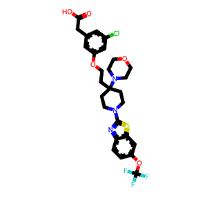 O=C(O)Cc1cc(Cl)cc(OCCC2(N3CCOCC3)CCN(c3nc4ccc(OC(F)(F)F)cc4s3)CC2)c1